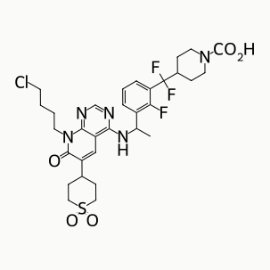 CC(Nc1ncnc2c1cc(C1CCS(=O)(=O)CC1)c(=O)n2CCCCCl)c1cccc(C(F)(F)C2CCN(C(=O)O)CC2)c1F